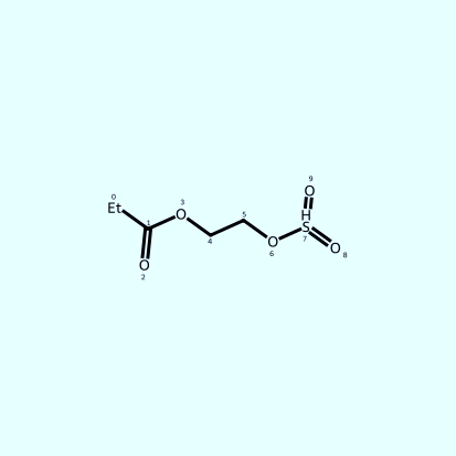 CCC(=O)OCCO[SH](=O)=O